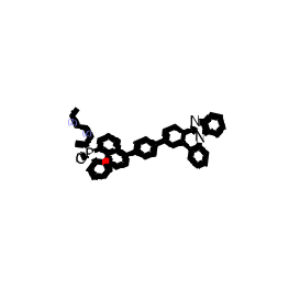 C=C(/C=C\C=C/C)P(=O)(c1ccccc1)c1cccc2c(-c3ccc(C4=CCC5C(=C4)c4ccccc4-n4c5nc5ccccc54)cc3)cccc12